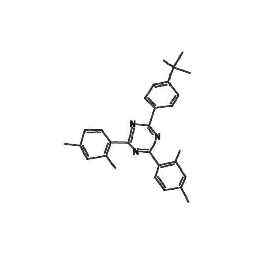 Cc1ccc(-c2nc(-c3ccc(C(C)(C)C)cc3)nc(-c3ccc(C)cc3C)n2)c(C)c1